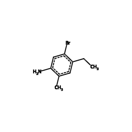 CCc1cc(C)c(N)cc1Br